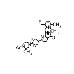 CC(=O)N1CCN(c2ncc(-c3ccc4c(=O)n(C)n(Cc5nc(C)ccc5CF)c4n3)cn2)C[C@H]1C